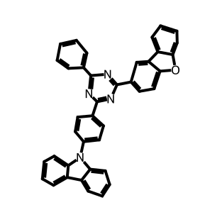 c1ccc(-c2nc(-c3ccc(-n4c5ccccc5c5ccccc54)cc3)nc(-c3ccc4oc5ccccc5c4c3)n2)cc1